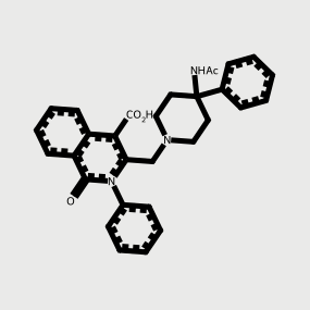 CC(=O)NC1(c2ccccc2)CCN(Cc2c(C(=O)O)c3ccccc3c(=O)n2-c2ccccc2)CC1